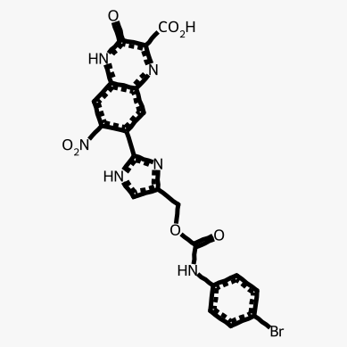 O=C(Nc1ccc(Br)cc1)OCc1c[nH]c(-c2cc3nc(C(=O)O)c(=O)[nH]c3cc2[N+](=O)[O-])n1